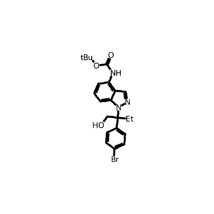 CCC(CO)(c1ccc(Br)cc1)n1ncc2c(NC(=O)OC(C)(C)C)cccc21